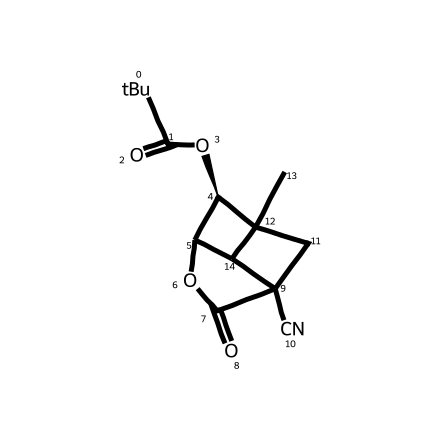 CC(C)(C)C(=O)O[C@@H]1C2OC(=O)C3(C#N)CC1(C)C23